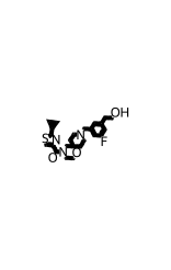 O=C(c1csc(C2CC2)n1)N1CCOC2(CCN(Cc3cc(F)cc(CCO)c3)CC2)C1